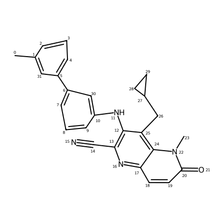 Cc1cccc(-c2cccc(Nc3c(C#N)nc4ccc(=O)n(C)c4c3CC3CC3)c2)c1